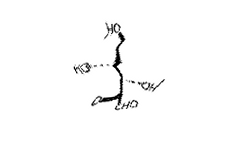 O=CC(=O)[C@@H](O)[C@H](O)CO